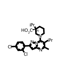 Cc1nc2cc(-c3ccc(Cl)cc3Cl)nn2c(N2CCC[C@@](C(=O)O)(C(C)C)C2)c1C(C)C